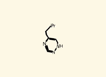 CC(C)CC1=CNN=C=N1